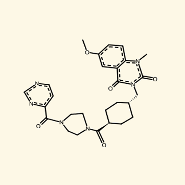 COc1ccc2c(c1)c(=O)n(C[C@H]1CC[C@H](C(=O)N3CCN(C(=O)c4ccncn4)CC3)CC1)c(=O)n2C